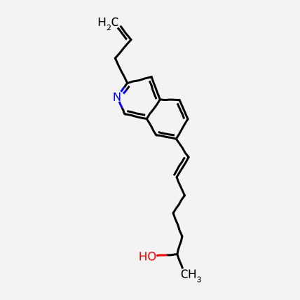 C=CCc1cc2ccc(C=CCCCC(C)O)cc2cn1